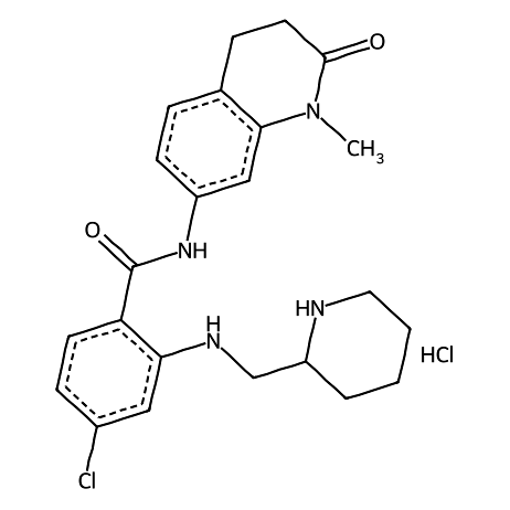 CN1C(=O)CCc2ccc(NC(=O)c3ccc(Cl)cc3NCC3CCCCN3)cc21.Cl